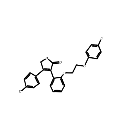 O=C1OCC(c2ccc(Cl)cc2)=C1c1ccccc1OCCOc1ccc(Cl)cc1